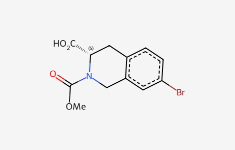 COC(=O)N1Cc2cc(Br)ccc2C[C@H]1C(=O)O